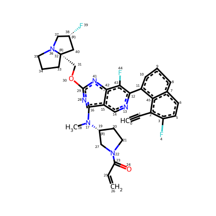 C#Cc1c(F)ccc2cccc(-c3ncc4c(N(C)[C@@H]5CCN(C(=O)C=C)C5)nc(OC[C@]56CCCN5C[C@H](F)C6)nc4c3F)c12